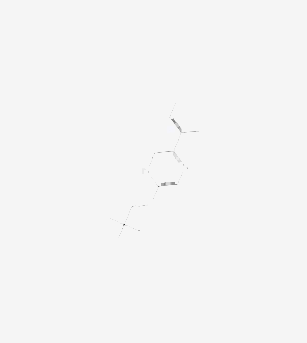 F/C(=C\I)C1=NC=C(OCC(F)(F)F)NC1